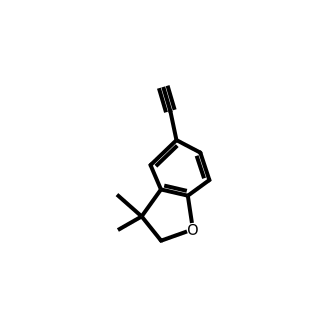 C#Cc1ccc2c(c1)C(C)(C)CO2